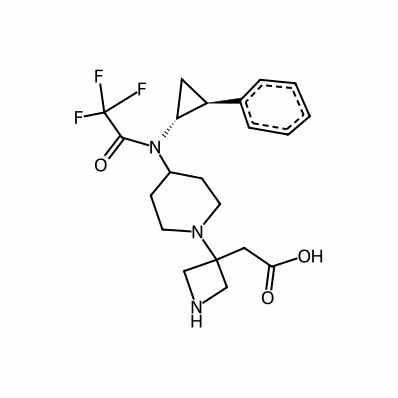 O=C(O)CC1(N2CCC(N(C(=O)C(F)(F)F)[C@@H]3C[C@H]3c3ccccc3)CC2)CNC1